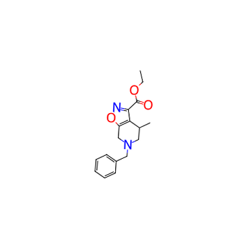 CCOC(=O)c1noc2c1C(C)CN(Cc1ccccc1)C2